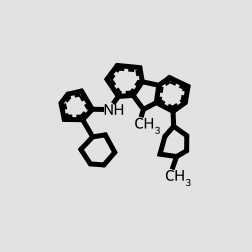 CC1CCC(c2cccc3c2C(C)c2c(Nc4ccccc4C4CCCCC4)cccc2-3)CC1